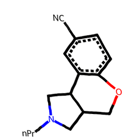 CCCN1CC2COc3ccc(C#N)cc3C2C1